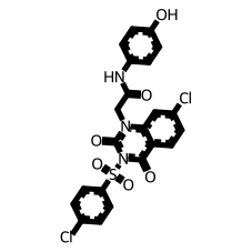 O=C(Cn1c(=O)n(S(=O)(=O)c2ccc(Cl)cc2)c(=O)c2ccc(Cl)cc21)Nc1ccc(O)cc1